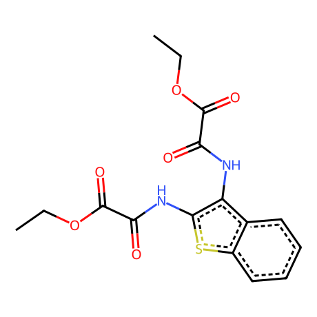 CCOC(=O)C(=O)Nc1sc2ccccc2c1NC(=O)C(=O)OCC